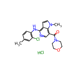 Cc1ccc(Nc2ncc(C(=O)N3CCOCC3)c3c2ccn3C)c(Cl)c1.Cl